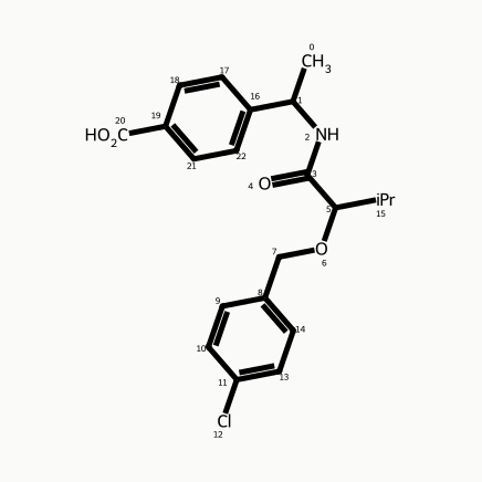 CC(NC(=O)C(OCc1ccc(Cl)cc1)C(C)C)c1ccc(C(=O)O)cc1